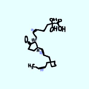 C/C=C\CC1(C/C=C/[C@H]2CCC(=O)[C@@H]2C/C=C\CCC(O)(O)C(=O)O)CCC1